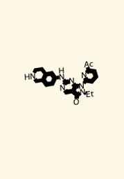 CCn1c(=O)c2cnc(Nc3ccc4c(c3)CCNC4)nc2n1-c1cccc(C(C)=O)n1